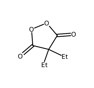 CCC1(CC)C(=O)OOC1=O